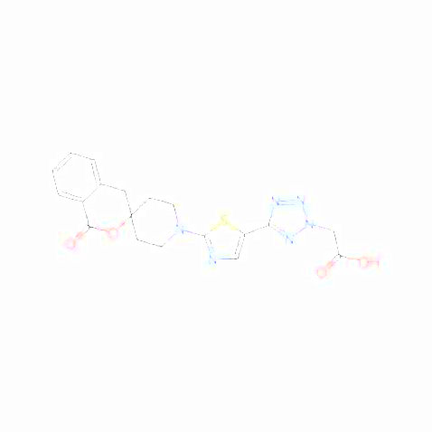 O=C(O)Cn1nnc(-c2cnc(N3CCC4(CC3)Cc3ccccc3C(=O)O4)s2)n1